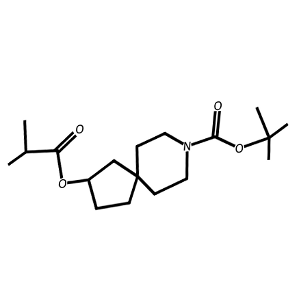 CC(C)C(=O)OC1CCC2(CCN(C(=O)OC(C)(C)C)CC2)C1